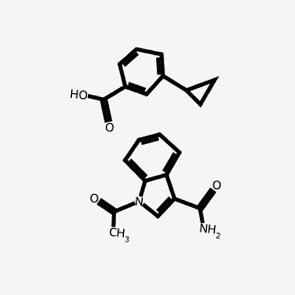 CC(=O)n1cc(C(N)=O)c2ccccc21.O=C(O)c1cccc(C2CC2)c1